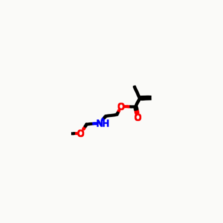 C=C(C)C(=O)OCCNCOC